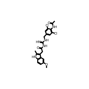 COc1ccc2[nH]c(C)c(CC(=O)NC(=N)NCc3cc(Cl)c(NC(C)=O)c(Cl)c3)c2c1